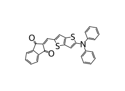 O=C1C(=Cc2cc3sc(N(c4ccccc4)c4ccccc4)cc3s2)C(=O)c2ccccc21